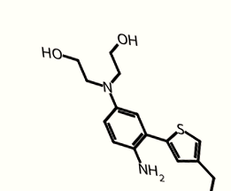 CCc1csc(-c2cc(N(CCO)CCO)ccc2N)c1